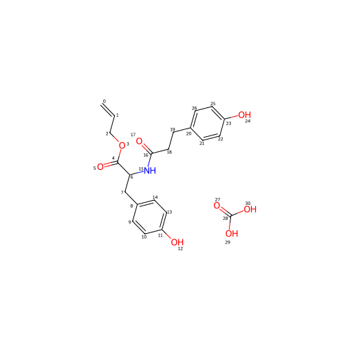 C=CCOC(=O)C(Cc1ccc(O)cc1)NC(=O)CCc1ccc(O)cc1.O=C(O)O